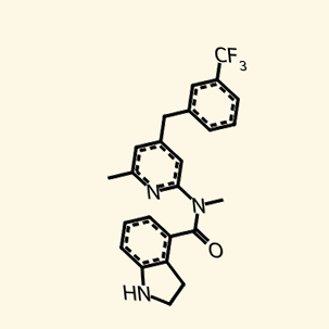 Cc1cc(Cc2cccc(C(F)(F)F)c2)cc(N(C)C(=O)c2cccc3c2CCN3)n1